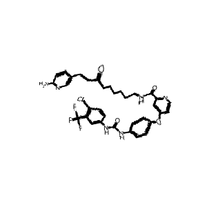 Nc1ccc(C=CC(=O)CCCCCCNC(=O)c2cc(Oc3ccc(NC(=O)Nc4ccc(Cl)c(C(F)(F)F)c4)cc3)ccn2)cn1